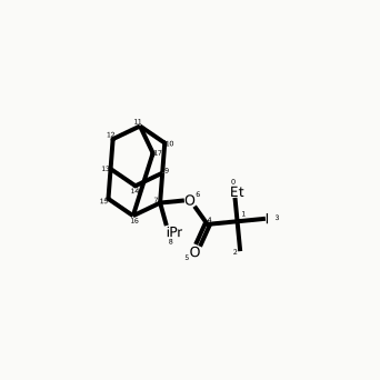 CCC(C)(I)C(=O)OC1(C(C)C)C2CC3CC(C2)CC1C3